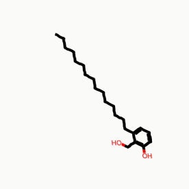 CCCCCCCCCCCCCCCc1cccc(O)c1CO